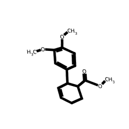 COC(=O)C1CCC=CC1c1ccc(OC)c(OC)c1